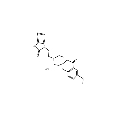 COc1ccc2c(c1)C(=O)CC1(CCN(CCn3c(=O)[nH]c4ccccc43)CC1)O2.Cl